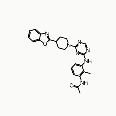 CC(=O)Nc1cccc(Nc2ncnc(N3CCC(c4nc5ccccc5o4)CC3)n2)c1C